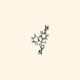 CC(COC#N)(c1ccccc1)c1ccc(C#N)cc1